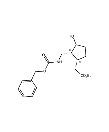 CCOC(=O)C[C@H]1CCC(O)[C@H]1CNC(=O)OCc1ccccc1